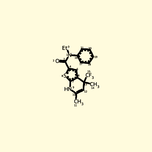 CCN(C(=O)c1cc2c(s1)NC(C)=CC2(C)C(F)(F)F)c1ccccc1